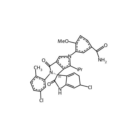 COc1ccc(C(N)=O)cc1-n1cc2c(c1C(C)C)[C@@]1(C(=O)NC3=CC(Cl)CC=C31)N(c1cc(Cl)ccc1C)C2=O